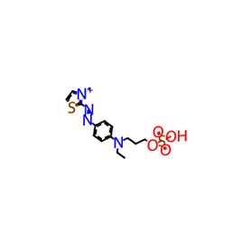 CCN(CCCOS(=O)(=O)O)c1ccc(N=Nc2scc[n+]2C)cc1